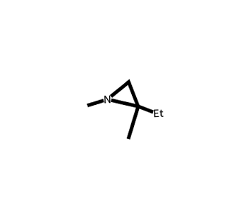 CCC1(C)CN1C